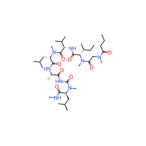 CCCC(=O)N(C)CC(=O)N(C)[C@H](C(=O)N[C@H](C(=O)N(C)[C@@H](CC(C)C)C(=O)N[C@@H](C)C(=O)NC(=O)N(C)[C@@H](CC(C)C)C(=O)NC)C(C)C)C(C)CC